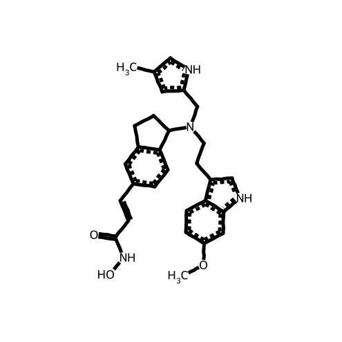 COc1ccc2c(CCN(Cc3cc(C)c[nH]3)C3CCc4cc(C=CC(=O)NO)ccc43)c[nH]c2c1